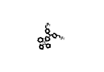 CC(C)Cc1ccc([I+]c2ccc(CC(C)C)cc2)cc1.c1ccc([B-](c2ccccc2)(c2ccccc2)c2ccccc2)cc1